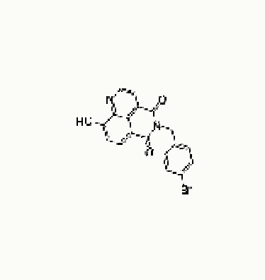 O=C1c2ccnc3c(O)ccc(c23)C(=O)N1Cc1ccc(Br)cc1